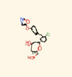 OC[C@@H]1CC(O)C[C@H](c2ccc(Cl)c(Cc3ccc(Oc4cnco4)cc3)c2)O1